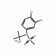 CC(C)(C(=O)O)N(c1ccc(Cl)c(Cl)c1)S(C)(=O)=O